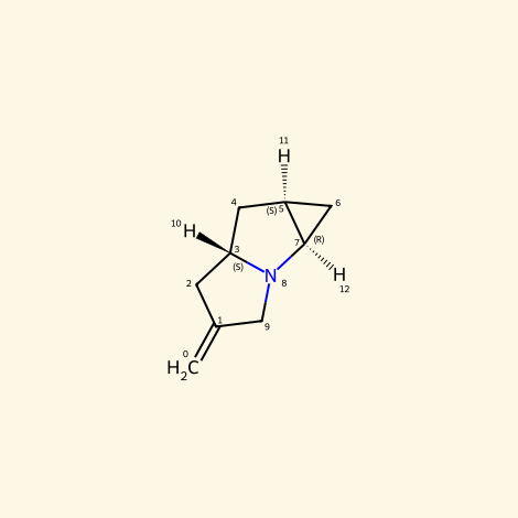 C=C1C[C@@H]2C[C@H]3C[C@H]3N2C1